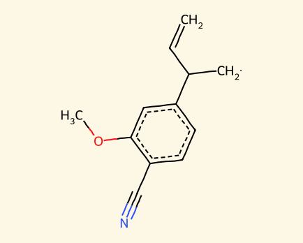 [CH2]C(C=C)c1ccc(C#N)c(OC)c1